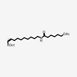 CCCCCCCC/C=C\CCCCCCCCNC(=O)CCCCCOC(C)=O